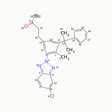 Cc1c(-n2nc3ccc(Cl)cc3n2)cc(CCC(=O)C(C)(C)C)cc1C(C)(C)c1ccccc1